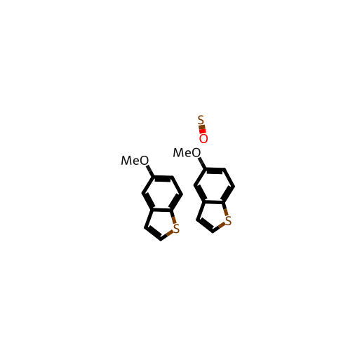 COc1ccc2sccc2c1.COc1ccc2sccc2c1.O=S